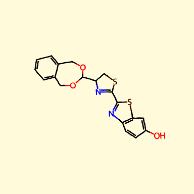 Oc1ccc2nc(C3=NC(C4OCc5ccccc5CO4)CS3)sc2c1